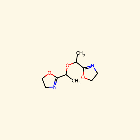 CC(OC(C)C1=NCCO1)C1=NCCO1